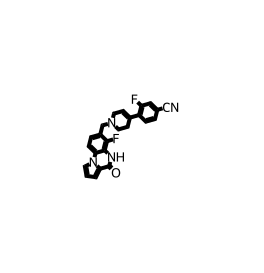 N#Cc1ccc(C2=CCN(Cc3ccc4c([nH]c(=O)c5cccn54)c3F)CC2)c(F)c1